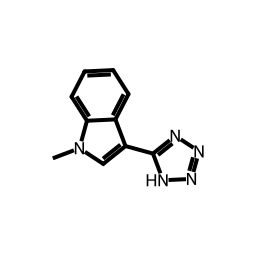 Cn1cc(-c2nnn[nH]2)c2ccccc21